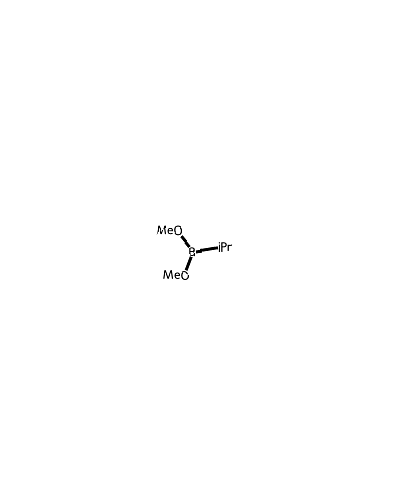 COB(OC)C(C)C